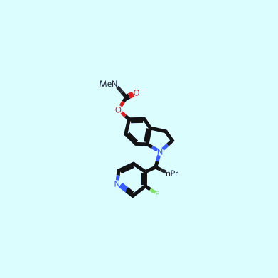 CCCC(c1ccncc1F)N1CCc2cc(OC(=O)NC)ccc21